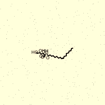 CCCCCCCC/C=C\CCCCCCCC(=O)N[C@@H](C=O)[C@@H](O)[C@H](O)[C@H](O)CO